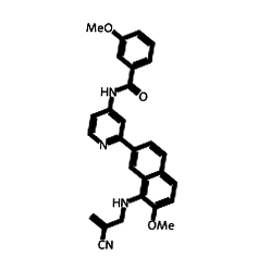 C=C(C#N)CNc1c(OC)ccc2ccc(-c3cc(NC(=O)c4cccc(OC)c4)ccn3)cc12